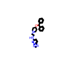 c1ccc(C(OC2CCN(CCNc3ccc4ncnn4n3)CC2)c2ccccc2)cc1